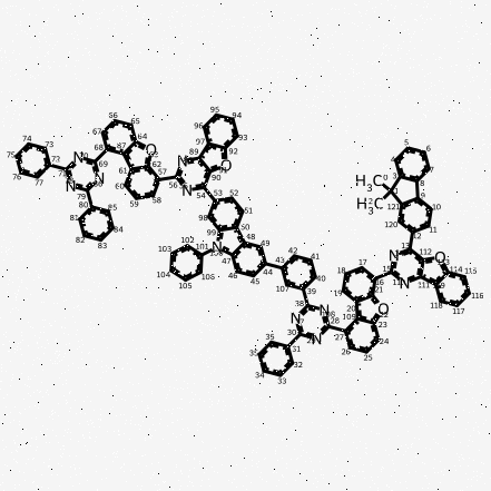 CC1(C)c2ccccc2-c2ccc(-c3nc(-c4cccc5c4oc4cccc(-c6nc(-c7ccccc7)nc(-c7cccc(-c8ccc9c(c8)c8ccc(-c%10nc(-c%11cccc%12c%11oc%11cccc(-c%13nc(-c%14ccccc%14)nc(-c%14ccccc%14)n%13)c%11%12)nc%11c%10oc%10ccccc%10%11)cc8n9-c8ccccc8)c7)n6)c45)nc4c3oc3ccccc34)cc21